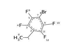 CCc1c(F)c(F)c(Br)c(F)c1F